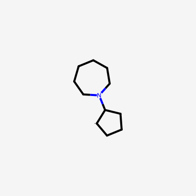 [CH]1CCCC1N1CCCCCC1